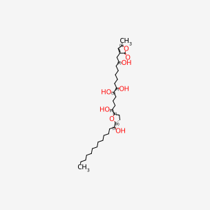 CCCCCCCCCCCC[C@H](O)[C@H]1CC[C@H]([C@H](O)CCC[C@H](O)[C@H](O)CCCCC[C@@H](O)CC2=C[C@H](C)OC2=O)O1